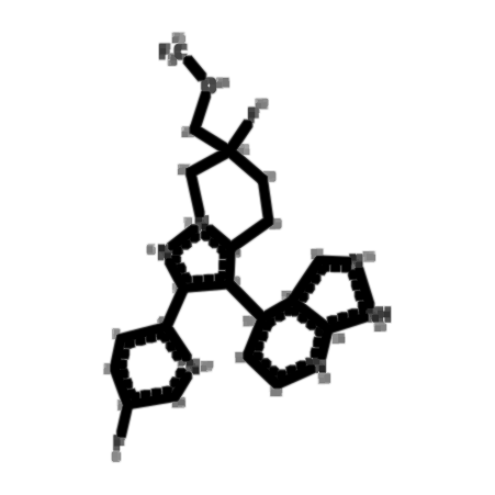 Fc1ccc(-c2nn3c(c2-c2ccnc4[nH]ncc24)CCC(F)(COC(F)(F)F)C3)nc1